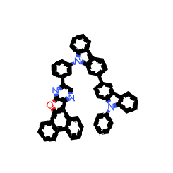 c1ccc(-n2c3ccccc3c3cc(-c4ccc5c6ccccc6n(-c6cccc(-c7cnc8c(n7)oc7c9ccccc9c9ccccc9c87)c6)c5c4)ccc32)cc1